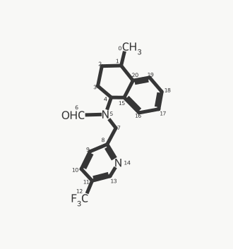 CC1CCC(N(C=O)Cc2ccc(C(F)(F)F)cn2)c2ccccc21